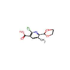 Cc1cc(C(=O)O)c(Cl)nc1C1OCCO1